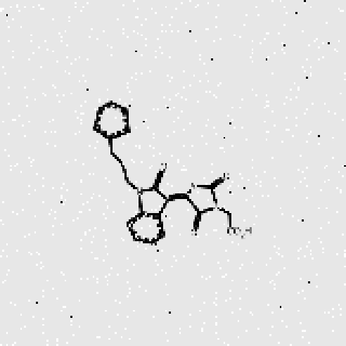 O=C(O)CN1C(=O)S/C(=C2\C(=O)N(CCCc3ccccc3)c3ccccc32)C1=O